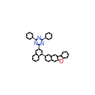 c1ccc(-c2nc(-c3ccccc3)nc(-c3cc(-c4ccc5cc6oc7ccccc7c6cc5c4)c4ccccc4c3)n2)cc1